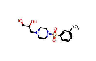 O=[N+]([O-])c1cc[c]c(S(=O)(=O)N2CCN(CC(O)CO)CC2)c1